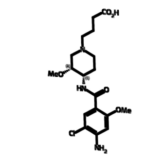 COc1cc(N)c(Cl)cc1C(=O)N[C@H]1CCN(CCCC(=O)O)C[C@H]1OC